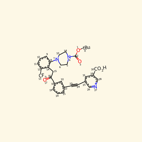 CC(C)(C)OC(=O)N1CCN(c2cccc(C(F)(F)F)c2CC(=O)c2cccc(C#Cc3cncc(C(=O)O)c3)c2)CC1